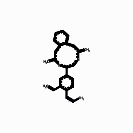 C=Cc1cc(-c2cnc(=C)cc3ccccc3cc(=C)n2)ccc1/C=C\C